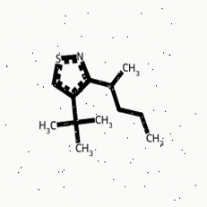 CCCC(C)c1nscc1C(C)(C)C